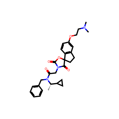 C[C@@H](C1CC1)N(Cc1ccccc1)C(=O)CN1C(=O)OC2(CCc3cc(OCCN(C)C)ccc32)C1=O